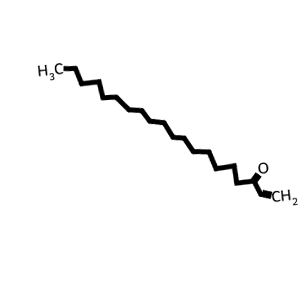 C=CC(=O)CCCCCCCCCCCCCCCCC